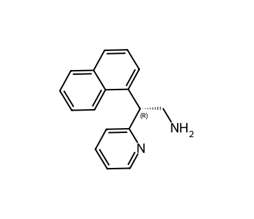 NC[C@H](c1ccccn1)c1cccc2ccccc12